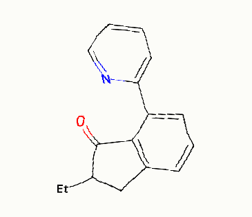 CCC1Cc2cccc(-c3ccccn3)c2C1=O